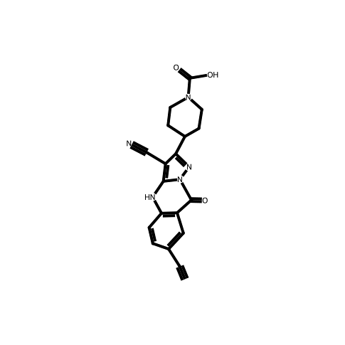 C#Cc1ccc2[nH]c3c(C#N)c(C4CCN(C(=O)O)CC4)nn3c(=O)c2c1